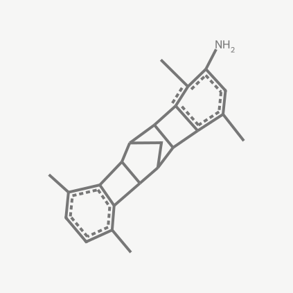 Cc1ccc(C)c2c1C1C3CC(C21)C1c2c(C)c(N)cc(C)c2C31